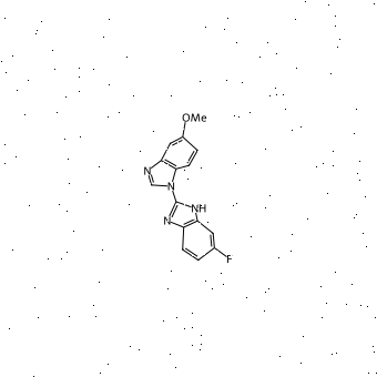 COc1ccc2c(c1)ncn2-c1nc2ccc(F)cc2[nH]1